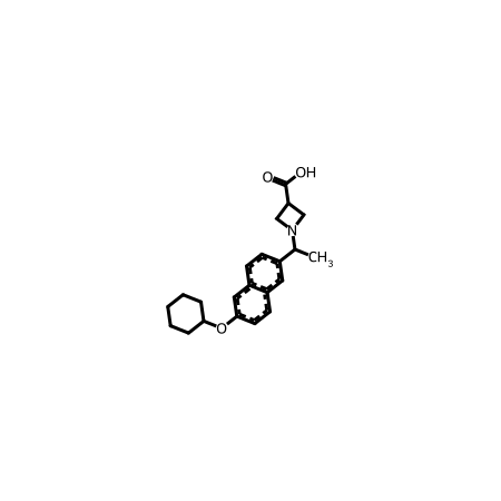 CC(c1ccc2cc(OC3CCCCC3)ccc2c1)N1CC(C(=O)O)C1